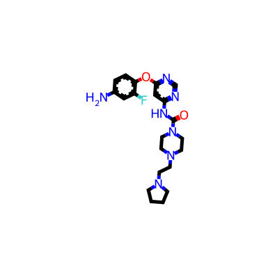 Nc1ccc(Oc2cc(NC(=O)N3CCN(CCN4CCCC4)CC3)ncn2)c(F)c1